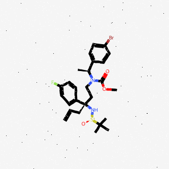 C=CC[C@@](CCN(C(=O)OC)[C@@H](C)c1ccc(Br)cc1)(N[S@@+]([O-])C(C)(C)C)c1ccc(F)cc1